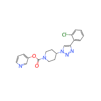 O=C(Oc1cccnc1)N1CCC(n2cc(-c3ccccc3Cl)nn2)CC1